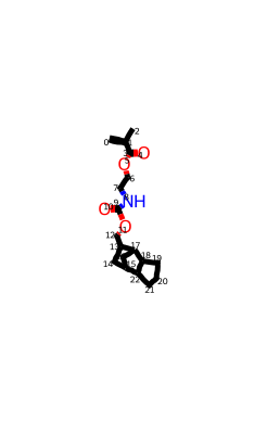 C=C(C)C(=O)OCCNC(=O)OCC1CC2CC1C1CCCC21